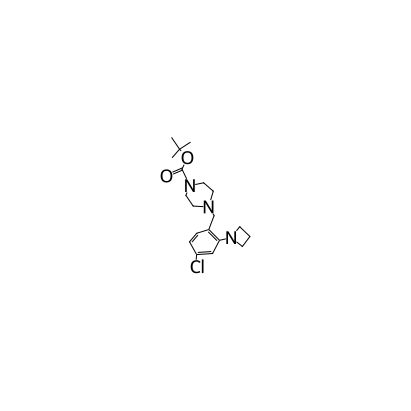 CC(C)(C)OC(=O)N1CCN(Cc2ccc(Cl)cc2N2CCC2)CC1